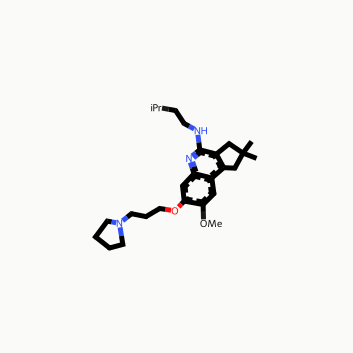 COc1cc2c3c(c(NCCC(C)C)nc2cc1OCCCN1CCCC1)CC(C)(C)C3